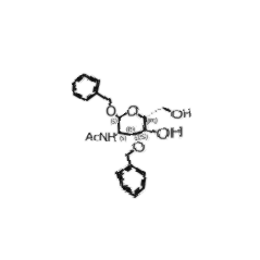 CC(=O)N[C@@H]1[C@@H](OCc2ccccc2)O[C@H](CO)[C@@H](O)[C@@H]1OCc1ccccc1